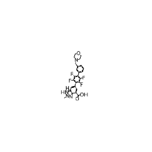 CN1N=C2C(C(=O)O)=CC(c3c(F)c(F)c(-c4cccc(CN5CCOCC5)c4)c(F)c3F)=C[C@@H]2N1